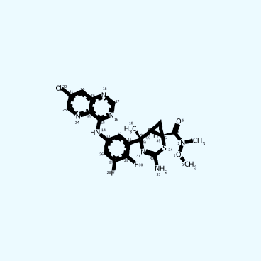 CON(C)C(=O)[C@]12C[C@H]1[C@@](C)(c1cc(Nc3ncnc4cc(Cl)cnc34)cc(F)c1F)N=C(N)S2